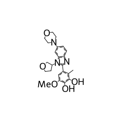 COc1cc(-c2nc3ccc(N4CCOCC4)cc3n2C2CCOC2)c(C)c(O)c1O